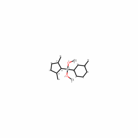 CCO[Si](OCC)(C1CCCC(C)C1)C1C(C)CCC1C